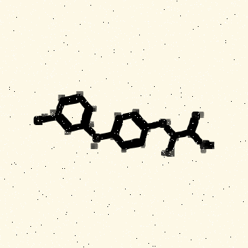 CC(C)(C)C(=O)C(Cl)Oc1ccc(Oc2cccc(Cl)c2)cc1